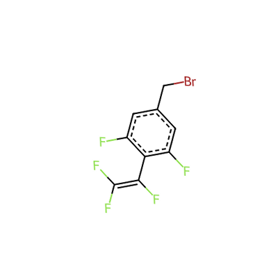 FC(F)=C(F)c1c(F)cc(CBr)cc1F